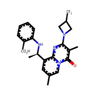 Cc1cc([C@@H](C)Nc2ccccc2C(=O)O)c2nc(N3CC(C(F)(F)F)C3)c(C)c(=O)n2c1